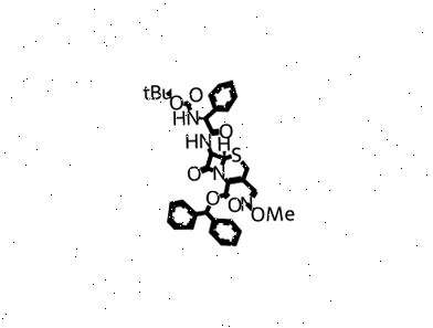 CON=CC1=C(C(=O)OC(c2ccccc2)c2ccccc2)N2C(=O)C(NC(=O)[C@@H](NC(=O)OC(C)(C)C)c3ccccc3)[C@@H]2SC1